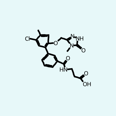 Cc1cc(OCc2n[nH]c(=O)n2C)c(-c2cccc(C(=O)NCCC(=O)O)c2)cc1Cl